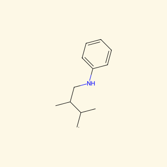 [CH2]C(C)C(C)CNc1ccccc1